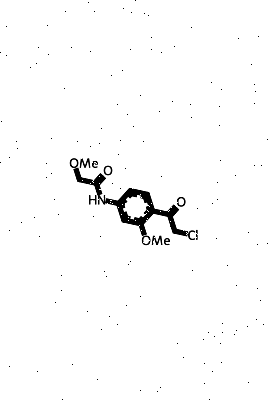 COCC(=O)Nc1ccc(C(=O)CCl)c(OC)c1